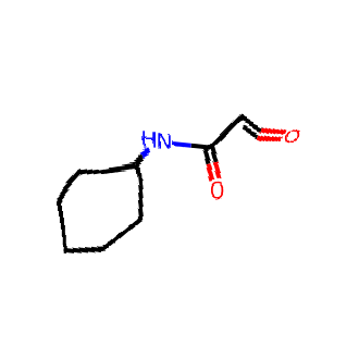 O=CC(=O)NC1CCCCC1